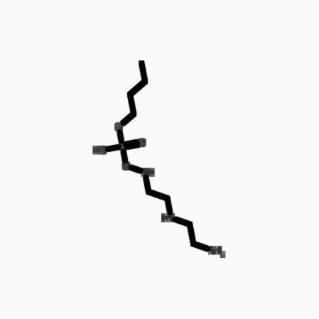 CCCCOP(=O)(O)ONCCNCCN